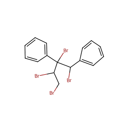 BrCC(Br)C(Br)(c1ccccc1)C(Br)c1ccccc1